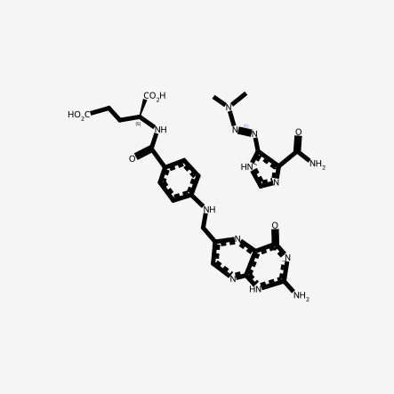 CN(C)/N=N/c1[nH]cnc1C(N)=O.Nc1nc(=O)c2nc(CNc3ccc(C(=O)N[C@@H](CCC(=O)O)C(=O)O)cc3)cnc2[nH]1